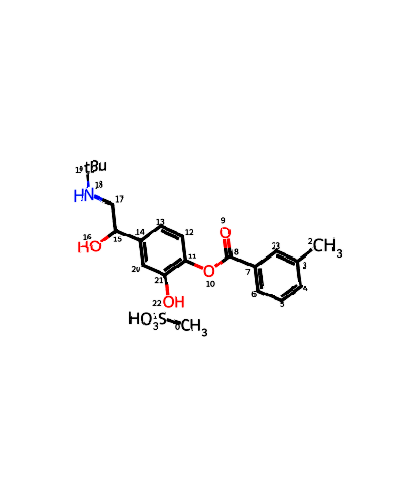 CS(=O)(=O)O.Cc1cccc(C(=O)Oc2ccc(C(O)CNC(C)(C)C)cc2O)c1